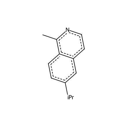 Cc1nccc2cc(C(C)C)ccc12